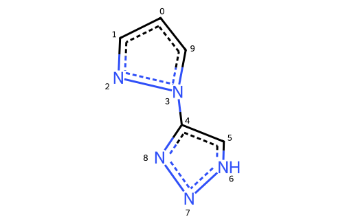 c1cnn(-c2c[nH]nn2)c1